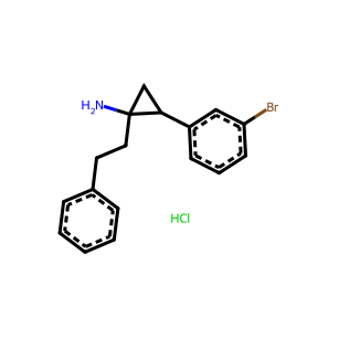 Cl.NC1(CCc2ccccc2)CC1c1cccc(Br)c1